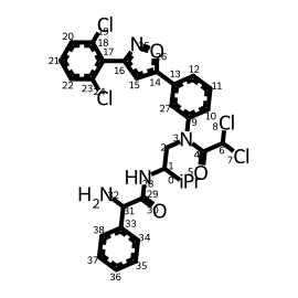 CC(C)C(CN(C(=O)C(Cl)Cl)c1cccc(-c2cc(-c3c(Cl)cccc3Cl)no2)c1)NC(=O)C(N)c1ccccc1